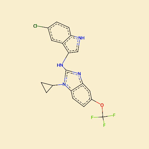 FC(F)(F)Oc1ccc2c(c1)nc(Nc1c[nH]c3ccc(Cl)cc13)n2C1CC1